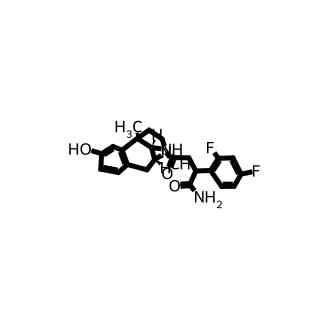 CN1CC[C@@]2(C)c3cc(O)ccc3C[C@@H]1[C@@H]2NC(=O)CC(C(N)=O)c1ccc(F)cc1F